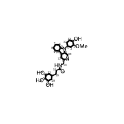 COc1cc(-n2c3ccccc3c3cc(CNC(=O)/C=C/c4cc(O)c(O)c(O)c4)ncc32)ccc1O